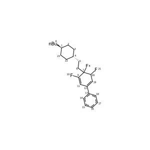 CCCC[C@H]1CC[C@H](CCC2(F)C(F)=CC(c3ccccc3)=CC2F)CC1